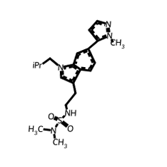 CC(C)Cn1cc(CCNS(=O)(=O)N(C)C)c2ccc(-c3ccnn3C)cc21